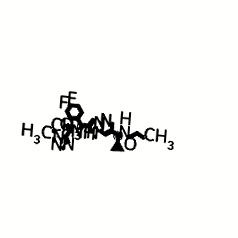 CCCC(=O)N[C@@H](c1cnn2cc([C@@H](NC(=O)c3ncnn3C(C)C)C3CCC(F)(F)CC3)nc2c1)C1CC1